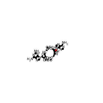 Nc1nc(N)c2ncn([C@@H]3O[C@@H]4CO[P@](=O)(S)O[C@@H]5[C@H](O)[C@@H](CO[P@@](=O)(S)O[C@H]4[C@H]3O)O[C@H]5n3cnc4c(N)ncnc43)c2n1